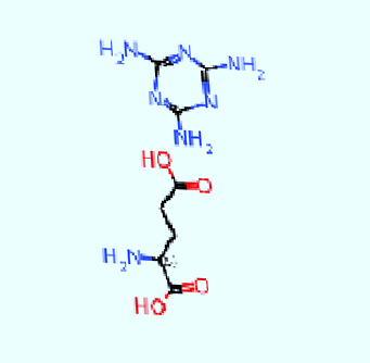 N[C@@H](CCC(=O)O)C(=O)O.Nc1nc(N)nc(N)n1